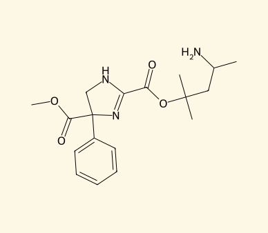 COC(=O)C1(c2ccccc2)CNC(C(=O)OC(C)(C)CC(C)N)=N1